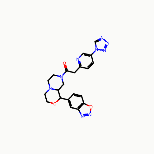 O=C(Cc1ccc(-n2cnnn2)cn1)N1CCN2CCOC(c3ccc4onnc4c3)C2C1